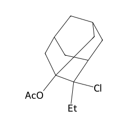 CCC1(Cl)C2CC3CC(C2)CC1(OC(C)=O)C3